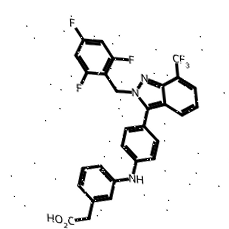 O=C(O)Cc1cccc(Nc2ccc(-c3c4cccc(C(F)(F)F)c4nn3Cc3c(F)cc(F)cc3F)cc2)c1